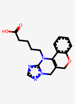 O=C(O)CCCCN1C2=C(COc3ccccc32)Cn2ncnc21